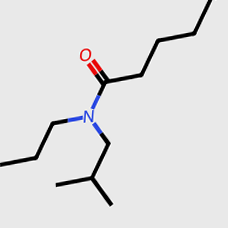 [CH2]CCCC(=O)N(CCC)CC(C)C